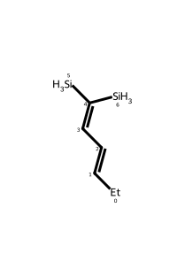 CCC=CC=C([SiH3])[SiH3]